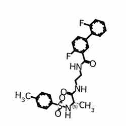 Cc1ccc(S(=O)(=O)N[C@@H](C)C(=O)NCCNC(=O)c2cc(-c3ccccc3F)ccc2F)cc1